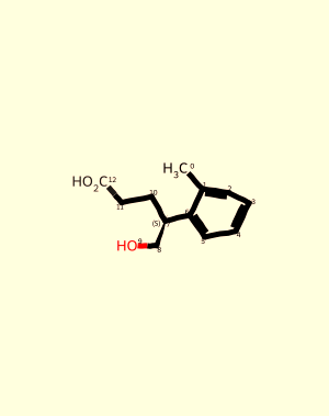 Cc1ccccc1[C@@H](CO)CCC(=O)O